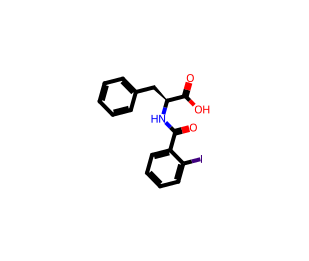 O=C(N[C@@H](Cc1ccccc1)C(=O)O)c1ccccc1I